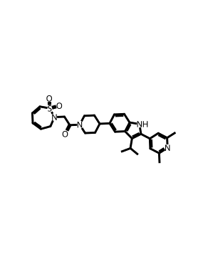 Cc1cc(-c2[nH]c3ccc(C4CCN(C(=O)CN5CC=CC=CS5(=O)=O)CC4)cc3c2C(C)C)cc(C)n1